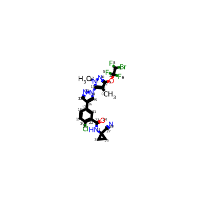 Cc1c(OC(F)(F)C(F)Br)nn(C)c1-n1cc(-c2ccc(Cl)c(C(=O)NC3(C#N)CC3)c2)cn1